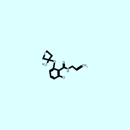 C=CCNC(=O)c1c(Cl)cccc1OC1(C)CCCC1